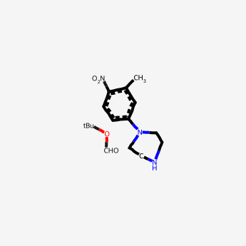 CC(C)(C)OC=O.Cc1cc(N2CCNCC2)ccc1[N+](=O)[O-]